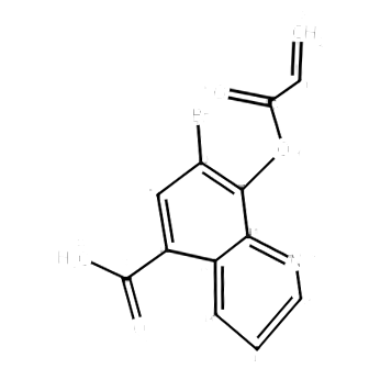 C=CC(=O)Oc1c(Br)cc(C(C)=O)c2cccnc12